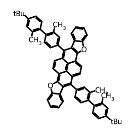 Cc1cc(-c2c3ccc4c5oc6ccccc6c5c(-c5ccc(-c6ccc(C(C)(C)C)cc6C)c(C)c5)c5ccc(c6oc7ccccc7c26)c3c54)ccc1-c1ccc(C(C)(C)C)cc1C